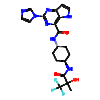 CC(O)(C(=O)N[C@H]1CC[C@H](NC(=O)c2nc(-n3ccnc3)nc3cc[nH]c23)CC1)C(F)(F)F